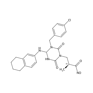 C[C@@H](CN1C(=O)NC(Nc2ccc3c(c2)CCCC3)N(Cc2ccc(Cl)cc2)C1=O)C(=O)N=O